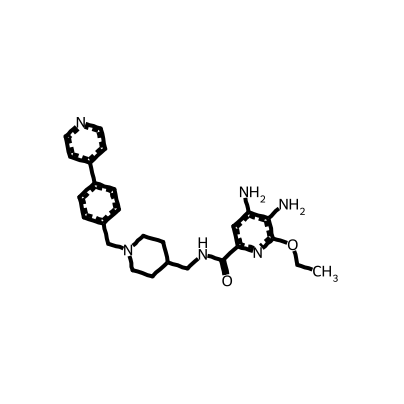 CCOc1nc(C(=O)NCC2CCN(Cc3ccc(-c4ccncc4)cc3)CC2)cc(N)c1N